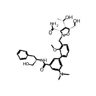 COc1c(CN2O[C@@H](CO)[C@@H]([C@H](C)O)[C@H]2C(N)=O)cccc1-c1cc(C(=O)N[C@@H](CO)Cc2ccccc2)cc(N(C)C)c1